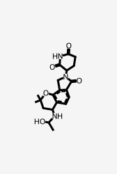 CC(O)NC1CC(C)(C)Oc2c1ccc1c2CN(C2CCC(=O)NC2=O)C1=O